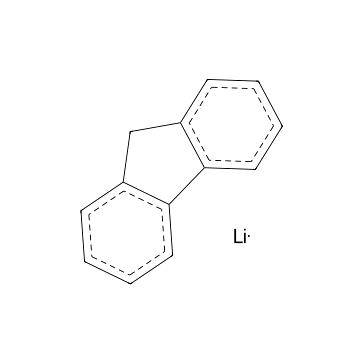 [Li].c1ccc2c(c1)Cc1ccccc1-2